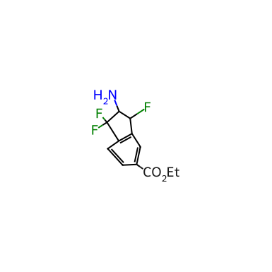 CCOC(=O)c1ccc2c(c1)C(F)C(N)C2(F)F